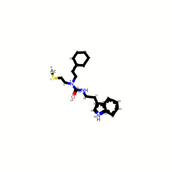 CC(=O)SCCN(CCC1CCCCC1)C(=O)NCCc1c[nH]c2ccccc12